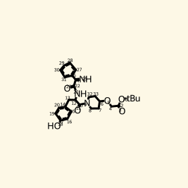 CC(C)(C)OC(=O)COC1CCN(C(=O)C(Cc2ccc(O)cc2)NC(=O)C(=N)c2ccccc2)CC1